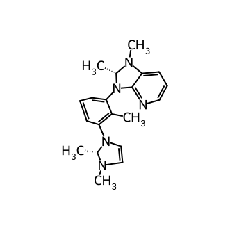 Cc1c(N2C=CN(C)[C@@H]2C)cccc1N1c2ncccc2N(C)[C@H]1C